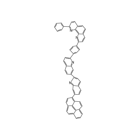 c1ccc(-c2ccc3ccc4ccc(-c5ccc(-c6ccc7ccc(-c8ccc9ccc(-c%10ccc%11ccc%12cccc%13ccc%10c%11c%12%13)cc9n8)cc7n6)cc5)nc4c3n2)cc1